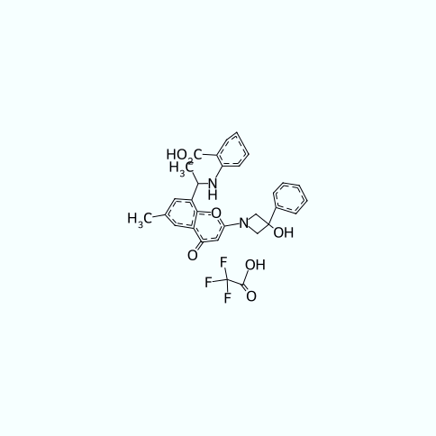 Cc1cc(C(C)Nc2ccccc2C(=O)O)c2oc(N3CC(O)(c4ccccc4)C3)cc(=O)c2c1.O=C(O)C(F)(F)F